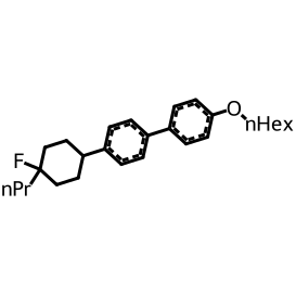 CCCCCCOc1ccc(-c2ccc(C3CCC(F)(CCC)CC3)cc2)cc1